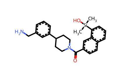 C[Si](C)(O)c1cccc2ccc(C(=O)N3CCC(c4cccc(CN)c4)CC3)cc12